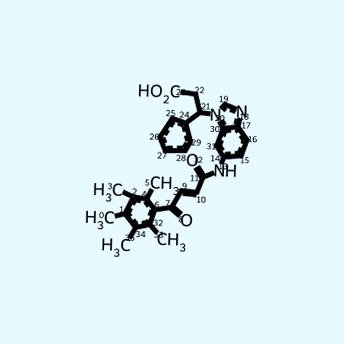 Cc1c(C)c(C)c(C(=O)C=CC(=O)Nc2ccc3ncn(C(CC(=O)O)c4ccccc4)c3c2)c(C)c1C